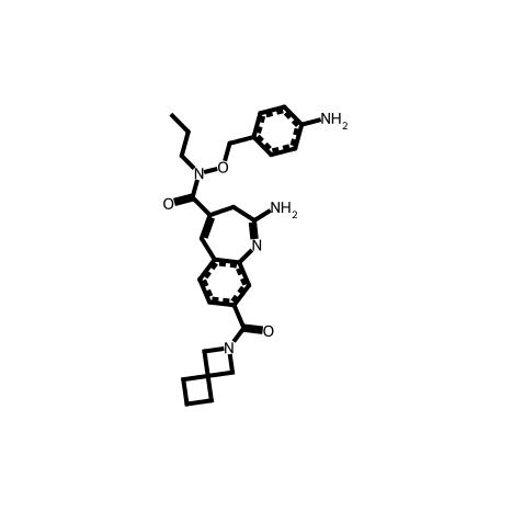 CCCN(OCc1ccc(N)cc1)C(=O)C1=Cc2ccc(C(=O)N3CC4(CCC4)C3)cc2N=C(N)C1